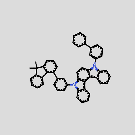 CC1(C)c2ccccc2-c2c(-c3cccc(-n4c5ccccc5c5c6c7ccccc7n(-c7cccc(-c8ccccc8)c7)c6ccc54)c3)cccc21